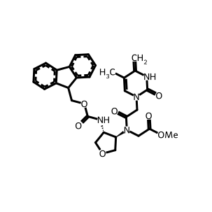 C=C1NC(=O)N(CC(=O)N(CC(=O)OC)[C@H]2COC[C@@H]2NC(=O)OCC2c3ccccc3-c3ccccc32)C=C1C